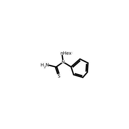 CCCCC[CH]N(C(N)=S)c1ccccc1